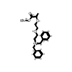 CC(OCCOCCN(Cc1ccccc1)Cc1ccccc1)C(=O)OC(C)(C)C